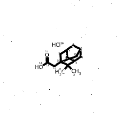 CC1(C)C2CC3CC(C2)CC1(CC(=O)O)C3.Cl